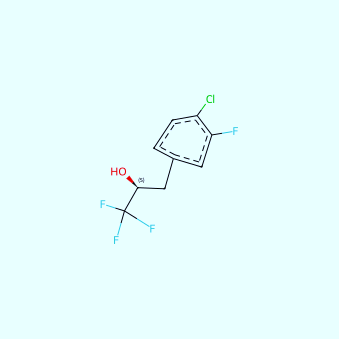 O[C@@H](Cc1ccc(Cl)c(F)c1)C(F)(F)F